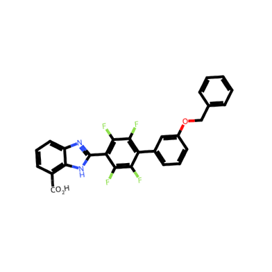 O=C(O)c1cccc2nc(-c3c(F)c(F)c(-c4cccc(OCc5ccccc5)c4)c(F)c3F)[nH]c12